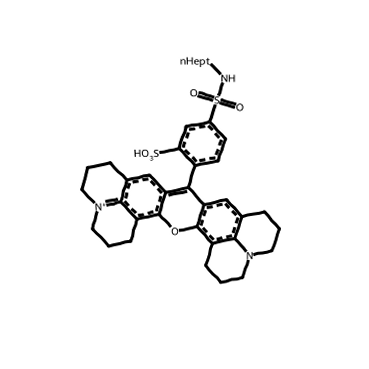 CCCCCCCNS(=O)(=O)c1ccc(C2=c3cc4c5c(c3Oc3c2cc2c6c3CCCN6CCC2)CCC[N+]=5CCC4)c(S(=O)(=O)O)c1